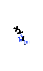 CNc1cn(C(C)(C)CC(C)(C)C)nn1